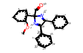 COc1ccccc1C1([C]=O)N=C(c2ccccc2)C(c2ccccc2)=N1